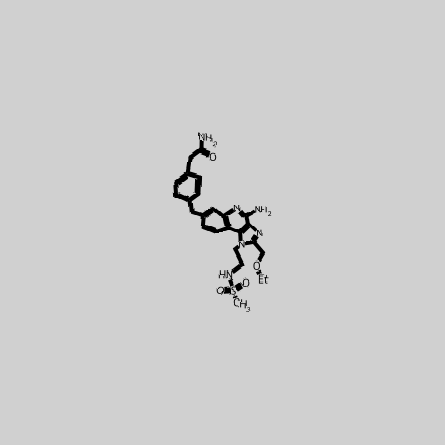 CCOCc1nc2c(N)nc3cc(Cc4ccc(CC(N)=O)cc4)ccc3c2n1CCNS(C)(=O)=O